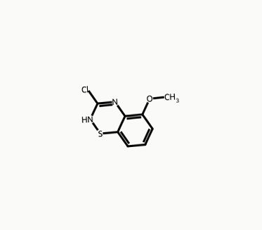 COc1cccc2c1N=C(Cl)NS2